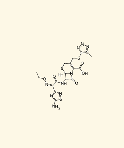 CCO/N=C(\C(=O)NC1C(=O)N2C(C(=O)O)=C(CSc3nnnn3C)CS[C@H]12)c1nsc(N)n1